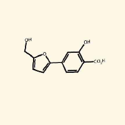 O=C(O)c1ccc(-c2ccc(CO)o2)cc1O